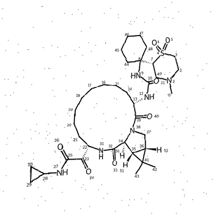 CN1CCS(=O)(=O)[C@@H](C2(NC(=O)N[C@H]3CCCCCCCC[C@@H](C(=O)C(=O)NC4CC4)NC(=O)[C@@H]4[C@@H]5[C@H](CN4C3=O)C5(C)C)CCCCC2)C1